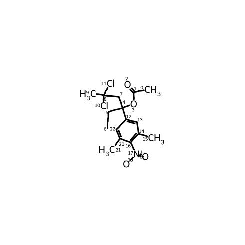 CC(=O)OC(CI)(CC(C)(Cl)Cl)c1cc(C)c([N+](=O)[O-])c(C)c1